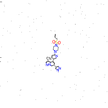 C=CCS(=O)(=O)N1CCN(c2ccc(-c3cc(-c4cnn(C)c4)cn4ncc(C#N)c34)cn2)CC1